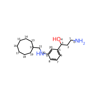 NCCC(O)c1cccc(NCC2CCCCCCC2)c1